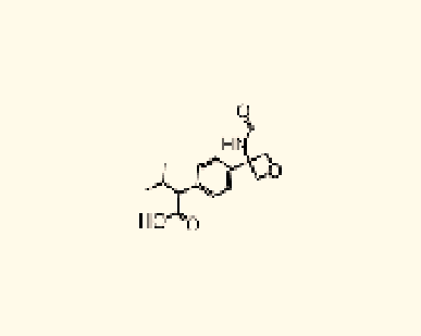 CC(C)C(C(=O)O)c1ccc(C2(NC=O)COC2)cc1